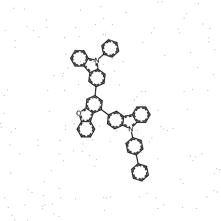 c1ccc(-c2ccc(-n3c4ccccc4c4cc(-c5cc(-c6ccc7c(c6)c6ccccc6n7-c6ccccc6)cc6oc7ccccc7c56)ccc43)cc2)cc1